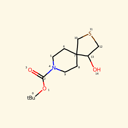 CC(C)(C)OC(=O)N1CCC2(CC1)CSCC2O